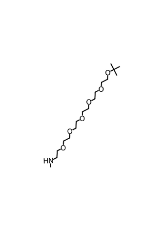 CNCCOCCOCCOCCOCCOCCOC(C)(C)C